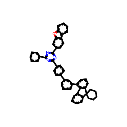 c1ccc(-c2nc(-c3ccc(-c4cccc(-c5cccc6c5-c5ccccc5C65CCCCC5)c4)cc3)nc(-c3ccc4c(c3)oc3ccccc34)n2)cc1